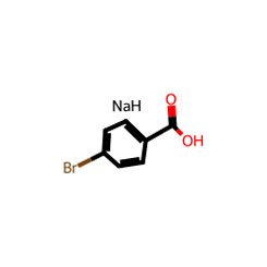 O=C(O)c1ccc(Br)cc1.[NaH]